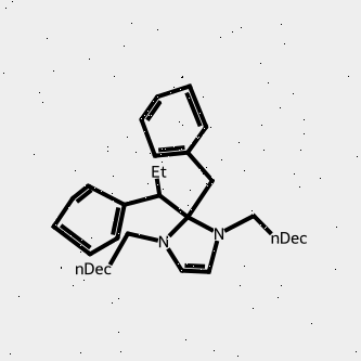 CCCCCCCCCCCN1C=CN(CCCCCCCCCCC)C1(Cc1ccccc1)C(CC)c1ccccc1